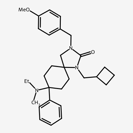 CCN(C)C1(c2ccccc2)CCC2(CC1)CN(Cc1ccc(OC)cc1)C(=O)N2CC1CCC1